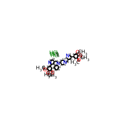 COc1cc(-c2cncc(CN3CCC(N(Cc4ccnc(-c5cc(OC)c(OC)c(OC)c5)c4)c4ccccc4)CC3)c2)cc(OC)c1OC.Cl.Cl.Cl